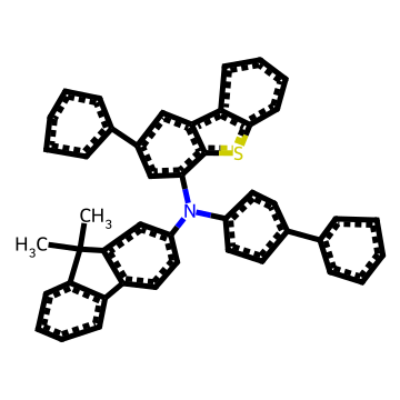 CC1(C)c2ccccc2-c2ccc(N(c3ccc(-c4ccccc4)cc3)c3cc(-c4ccccc4)cc4c3sc3ccccc34)cc21